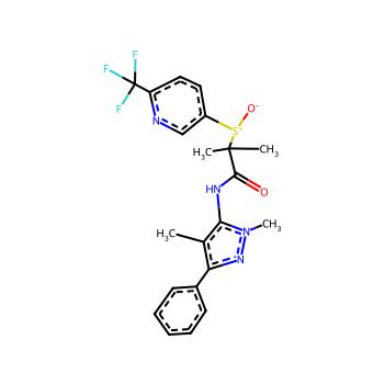 Cc1c(-c2ccccc2)nn(C)c1NC(=O)C(C)(C)[S+]([O-])c1ccc(C(F)(F)F)nc1